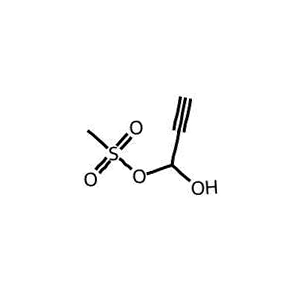 C#CC(O)OS(C)(=O)=O